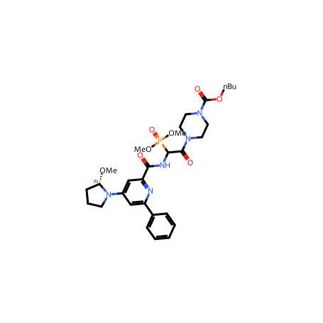 CCCCOC(=O)N1CCN(C(=O)C(NC(=O)c2cc(N3CCC[C@@H]3OC)cc(-c3ccccc3)n2)P(=O)(OC)OC)CC1